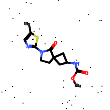 CC(C)(C)OC(=O)NC1CC2(CCN(c3ncc(C(C)(C)C)s3)C2=O)C1